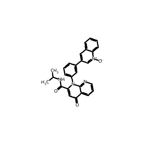 CC(C)NC(=O)c1cc(=O)c2cccnc2n1-c1cccc(-c2cc3ccccc3[n+]([O-])c2)c1